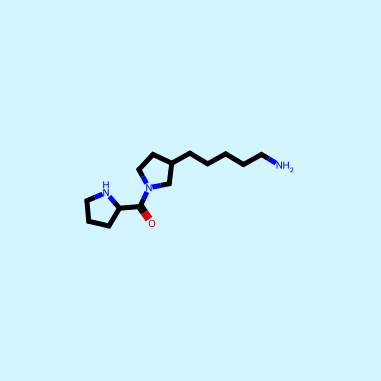 NCCCCCC1CCN(C(=O)C2CCCN2)C1